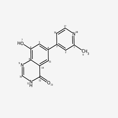 Cc1cc(-c2cc(O)c3nc[nH]c(=O)c3c2)ccn1